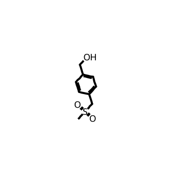 CS(=O)(=O)Cc1ccc(CO)cc1